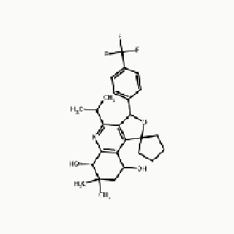 CC(C)c1nc2c(c3c1[C@@H](c1ccc(C(F)(F)F)cc1)OC31CCCC1)C(O)CC(C)(C)[C@H]2O